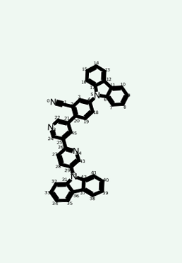 N#Cc1cc(-n2c3ccccc3c3ccccc32)ccc1-c1cncc(-c2ccc(-n3c4ccccc4c4ccccc43)cn2)c1